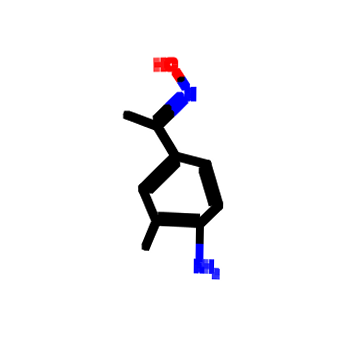 C/C(=N\O)c1ccc(N)c(C)c1